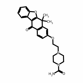 CC1(C)c2cc(OCCN3CCN(C(N)=O)CC3)ccc2C(=O)c2c1oc1ccccc21